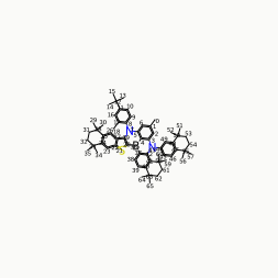 Cc1cc2c3c(c1)N(c1ccc(C(C)(C)C)cc1C)c1c(sc4cc5c(cc14)C(C)(C)CCC5(C)C)B3c1ccc3c(c1N2c1ccc2c(c1)C(C)(C)CCC2(C)C)C(C)(C)CCC3(C)C